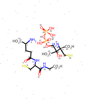 NC(CCC(=O)NC(CS)C(=O)NCC(=O)O)C(=O)O.N[C@@](CS)(C(=O)O)C(O)(COP(=O)(O)OP(=O)(O)O)C(=O)O